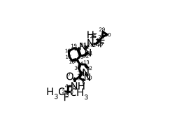 CC(C)(F)CNC(=O)c1cnn2ccc(C3=CCCCc4nc(NCC(F)(F)C5CC5)ncc43)cc12